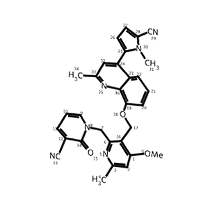 COc1cc(C)nc(Cn2cccc(C#N)c2=O)c1COc1cccc2c(-c3ccc(C#N)n3C)cc(C)nc12